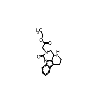 CCOC(=O)CN1CC2NCCc3c2n(c2ccccc32)C1=O